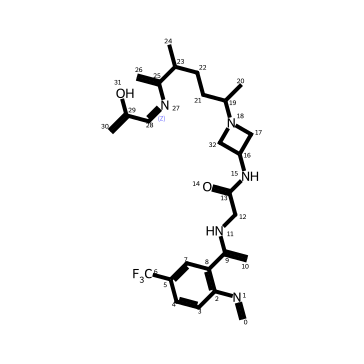 C=Nc1ccc(C(F)(F)F)cc1C(=C)NCC(=O)NC1CN(C(C)CCC(C)C(=C)/N=C\C(=C)O)C1